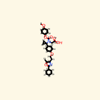 COc1ccc(OC(=O)N(CC(=O)O)C2(c3ccc(OCCc4nc(-c5ccccc5)oc4C)cc3)CC2)cc1